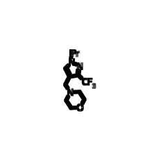 CC(C)n1cc(CN2CCOCC2)c(C(F)(F)F)n1